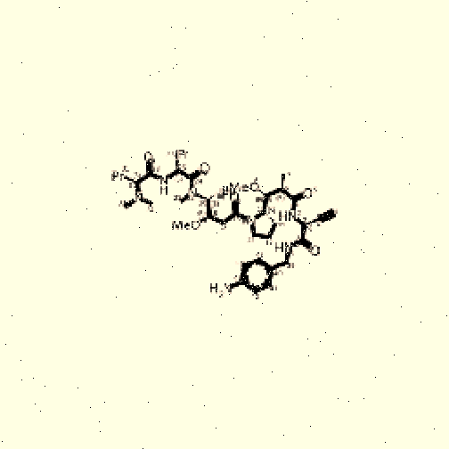 C#C[C@H](NC(=O)[C@H](C)[C@@H](OC)[C@@H]1CCCN1C(=O)C[C@@H](OC)[C@H]([C@@H](C)CC)N(C)C(=O)[C@@H](NC(=O)[C@H](C(C)C)N(C)C)C(C)C)C(=O)NCc1ccc(N)cc1